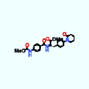 COC(=O)Nc1ccc(C(=O)N[C@@H](Cc2ccc(N3CCCCC3=O)cc2)C(=O)OC)cc1